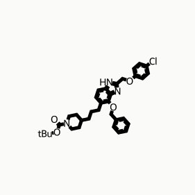 CC(C)(C)OC(=O)N1CCC(CCCc2ccc3[nH]c(COc4ccc(Cl)cc4)nc3c2OCc2ccccc2)CC1